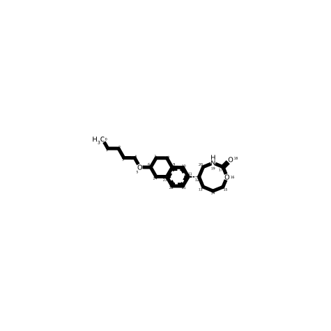 CCCCCOC1CCc2cc([C@H]3CCCOC(=O)NC3)ccc2C1